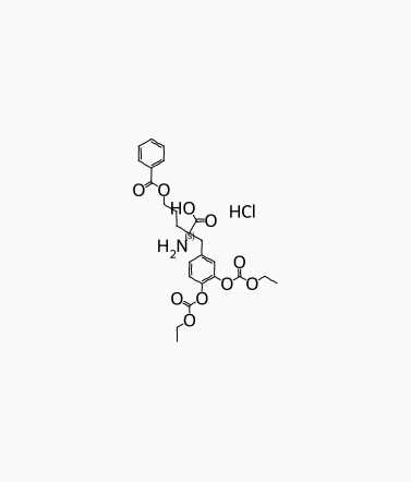 CCOC(=O)Oc1ccc(C[C@@](N)(CCCOC(=O)c2ccccc2)C(=O)O)cc1OC(=O)OCC.Cl